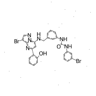 O=C(Nc1cccc(Br)c1)Nc1cccc(CNc2cc(-c3ccccc3O)nc3c(Br)cnn23)c1